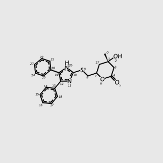 C[C@@]1(O)CC(=O)OC(CSc2nc(-c3ccccc3)c(-c3ccccc3)[nH]2)C1